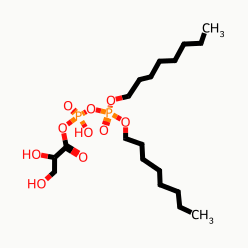 CCCCCCCCOP(=O)(OCCCCCCCC)OP(=O)(O)OC(=O)C(O)CO